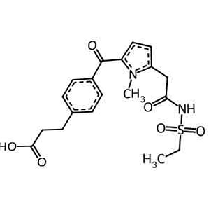 CCS(=O)(=O)NC(=O)Cc1ccc(C(=O)c2ccc(CCC(=O)O)cc2)n1C